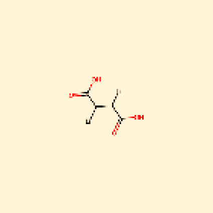 [Li][CH](C(=O)O)[CH]([Li])C(=O)O